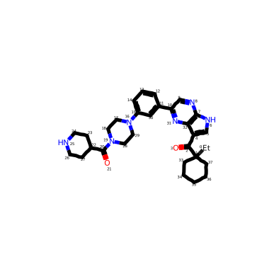 CCC1(C(=O)c2c[nH]c3ncc(-c4cccc(N5CCN(C(=O)C6CCNCC6)CC5)c4)nc23)CCCCC1